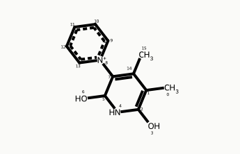 CC1=C(O)NC(O)C([n+]2ccccc2)=C1C